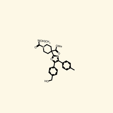 COC(=O)C1(c2nc(-c3ccc(C)cc3)c(-c3ccc(CO)cc3)o2)CCN(C(=O)N(C)O)CC1